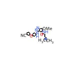 COc1cc2ncnc(Nc3ccc(Oc4cccc(C#N)c4)cc3)c2cc1NC(=O)C=CCN(C)C